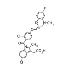 Cc1c(CC(=O)O)c2cc(Cl)ccc2n1C(=O)c1ccc(OC[C@@H]2CN(C)c3cc(F)ccc3O2)cc1Cl